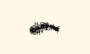 C/C(=C\c1ccc(O[C@@H]2O[C@H](C/C=N/OCc3ccc(F)c(F)c3)[C@@H](O)[C@H]2N)c(O)c1)C(=O)N[C@@H]1[C@H](O)[C@@H](O)[C@H]2OCO[C@H]2[C@@H]1O